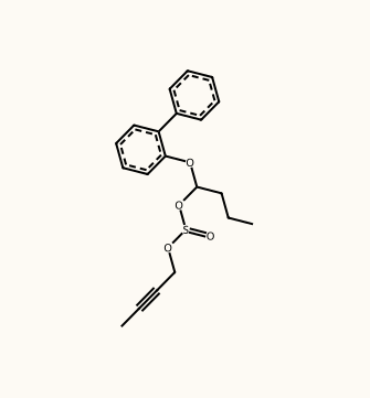 CC#CCOS(=O)OC(CCC)Oc1ccccc1-c1ccccc1